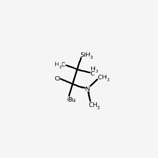 CCC(C)C(Cl)(N(C)C)C(C)(C)[SiH3]